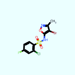 Cc1noc(NS(=O)(=O)c2ccc(F)cc2Cl)c1Br